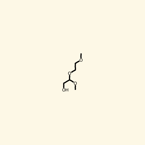 COCCOC(CO)OC